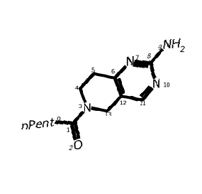 CCCCCC(=O)N1CCc2nc(N)ncc2C1